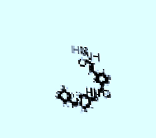 O=C(/C=C/c1cccc(C(=O)NCC2CCN(Cc3ccccc3)CC2)c1)NO